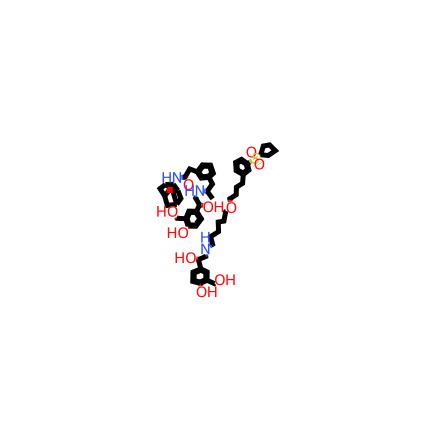 CC(Cc1cccc(CC(=O)NC2C3CC4CC(C3)CC2C4)c1)NCC(O)c1ccc(O)c(CO)c1.O=S(=O)(c1cccc(CCCCOCCCCCCNCC(O)c2ccc(O)c(CO)c2)c1)C1CCCC1